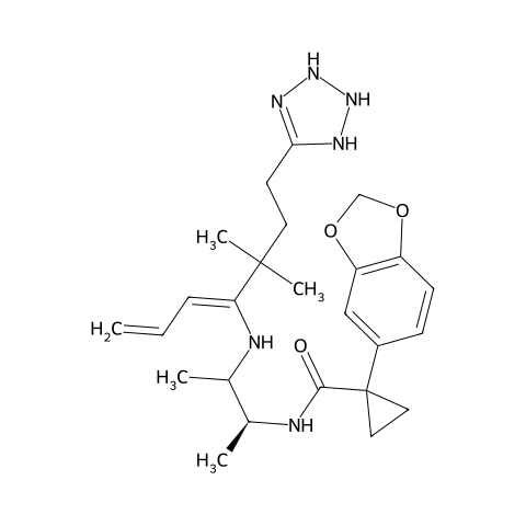 C=C/C=C(\NC(C)[C@H](C)NC(=O)C1(c2ccc3c(c2)OCO3)CC1)C(C)(C)CCC1=NNNN1